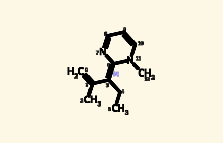 C=C(C)/C(CC)=C1\N=CC=CN1C